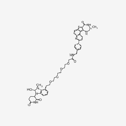 C[C@@H]1CNc2c(sc3ccc4nc(-c5ccc(CNC(=O)COCCOCCOCCOCCc6cccc7c6N(C)C(O)N7C6CCC(=O)NC6=O)cc5)ccc4c23)C(=O)N1